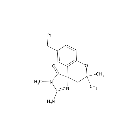 CC(C)Cc1ccc2c(c1)C1(CC(C)(C)O2)N=C(N)N(C)C1=O